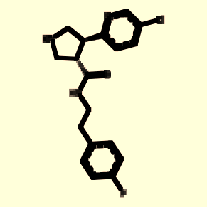 O=C(NCCc1ccc(F)cc1)[C@@H]1CNC[C@H]1c1ccc(Cl)cn1